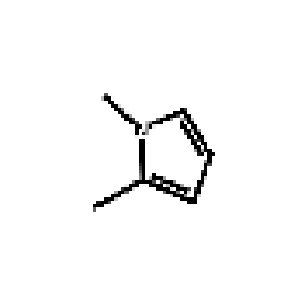 Cc1cccn1C